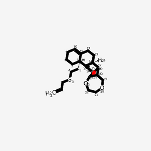 C=CCSCC[C@]12CCCC=C1CC[C@@H]1C2=CC[C@]23COCCOC2CC[C@@H]13